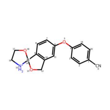 N#Cc1ccc(Oc2ccc3c(c2)CO[B-]32[NH2+]CCO2)cc1